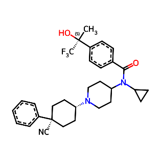 C[C@](O)(c1ccc(C(=O)N(C2CC2)C2CCN([C@H]3CC[C@](C#N)(c4ccccc4)CC3)CC2)cc1)C(F)(F)F